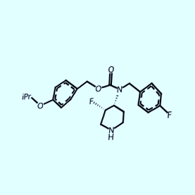 CC(C)Oc1ccc(COC(=O)N(Cc2ccc(F)cc2)[C@@H]2CCNC[C@@H]2F)cc1